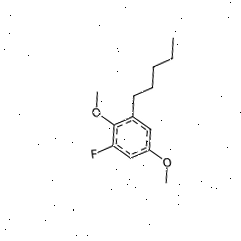 CCCCCc1cc(OC)cc(F)c1OC